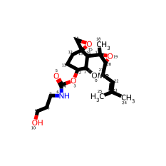 COC1C(OC(=O)NCCCO)CCC2(CO2)C1C1(C)OC1CC=C(C)C